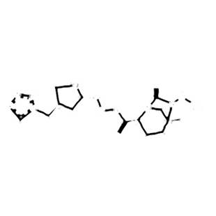 O=C(NOC[C@@H]1C[C@@H](Cn2cnnn2)CN1)[C@@H]1CC[C@@H]2CN1C(=O)N2OS(=O)(=O)O